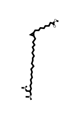 COC(=O)CCCCCCCC1CC1CCCCCCCCCCCCCCCCCCCC(CN(C)C)CN(C)C